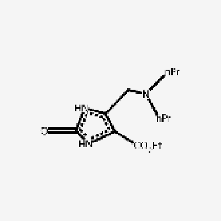 CCCN(CCC)Cc1[nH]c(=O)[nH]c1C(=O)OCC